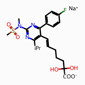 CC(C)c1nc(N(C)S(C)(=O)=O)nc(-c2ccc(F)cc2)c1/C=C/CCCC(O)(O)C(=O)[O-].[Na+]